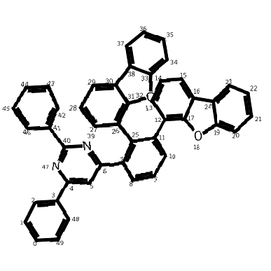 c1ccc(-c2cc(-c3cccc(-c4cccc5c4oc4ccccc45)c3-c3cccc4c3oc3ccccc34)nc(-c3ccccc3)n2)cc1